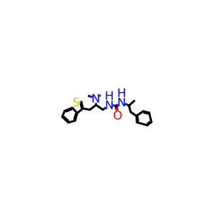 CC(Cc1ccccc1)NC(=O)NCC(Cc1csc2ccccc12)N(C)C